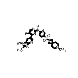 Cc1nc2ncc(-c3nc(Nc4ccc(S(=O)(=O)N5CC6(CCN(C)CC6)C5)cn4)ncc3F)cc2n1C(C)C